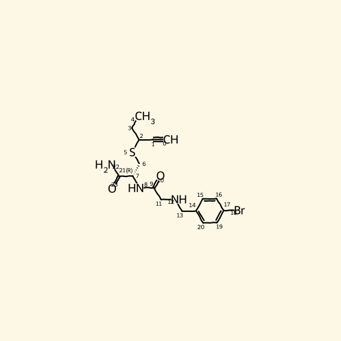 C#CC(CC)SC[C@H](NC(=O)CNCc1ccc(Br)cc1)C(N)=O